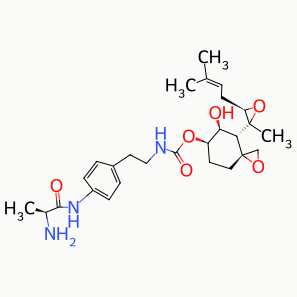 CC(C)=CC[C@H]1OC1(C)[C@H]1[C@H](O)[C@H](OC(=O)NCCc2ccc(NC(=O)[C@H](C)N)cc2)CC[C@]12CO2